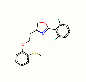 CSc1ccccc1OCCC1COC(c2c(F)cccc2F)=N1